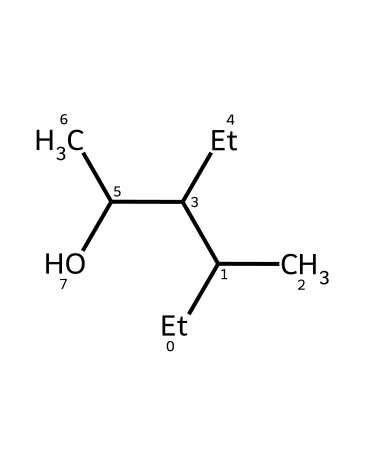 CCC(C)C(CC)C(C)O